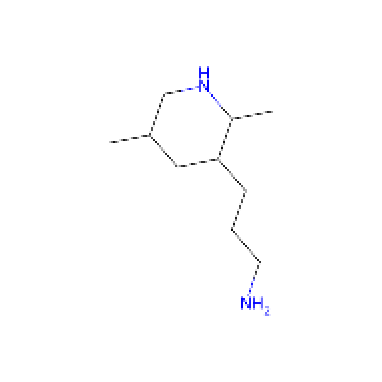 CC1CNC(C)C(CCCN)C1